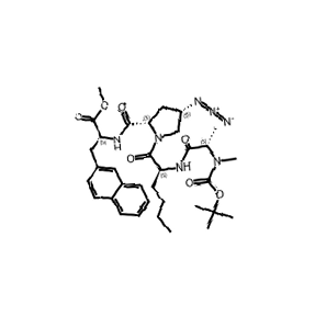 CCCC[C@H](NC(=O)[C@H](C)N(C)C(=O)OC(C)(C)C)C(=O)N1C[C@@H](N=[N+]=[N-])C[C@H]1C(=O)N[C@@H](Cc1ccc2ccccc2c1)C(=O)OC